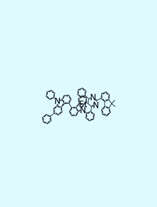 CCC1C(c2ccccc2-n2c3ccccc3c3c(-c4cccc5c4c4ccc(-c6ccccc6)cc4n5-c4ccccc4)cccc32)=NC(c2cccc3c2-c2ccccc2C3(C)C)=NC1c1ccccc1